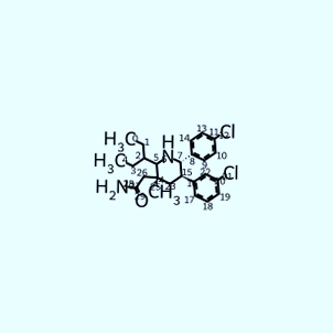 CCC(CC)C1N[C@H](c2ccc(Cl)cc2)[C@@H](c2cccc(Cl)c2)C[C@]1(C)CC(N)=O